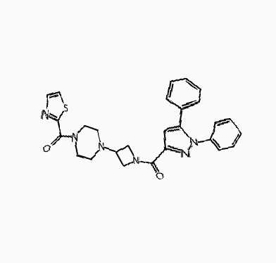 O=C(c1cc(-c2ccccc2)n(-c2ccccc2)n1)N1CC(N2CCN(C(=O)c3nccs3)CC2)C1